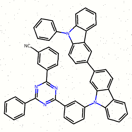 N#Cc1cccc(-c2nc(-c3ccccc3)nc(-c3cccc(-n4c5ccccc5c5ccc(-c6ccc7c(c6)c6ccccc6n7-c6ccccc6)cc54)c3)n2)c1